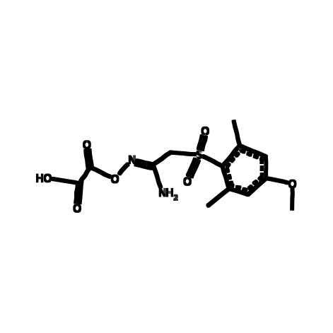 COc1cc(C)c(S(=O)(=O)C/C(N)=N/OC(=O)C(=O)O)c(C)c1